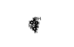 ON=C1c2ccccc2-c2c1cccc2-c1nc2cc(F)cc(F)c2[nH]1